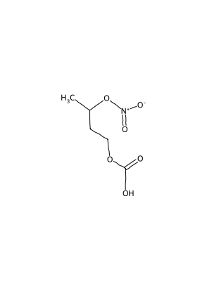 CC(CCOC(=O)O)O[N+](=O)[O-]